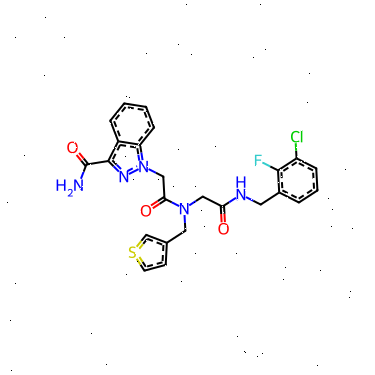 NC(=O)c1nn(CC(=O)N(CC(=O)NCc2cccc(Cl)c2F)Cc2ccsc2)c2ccccc12